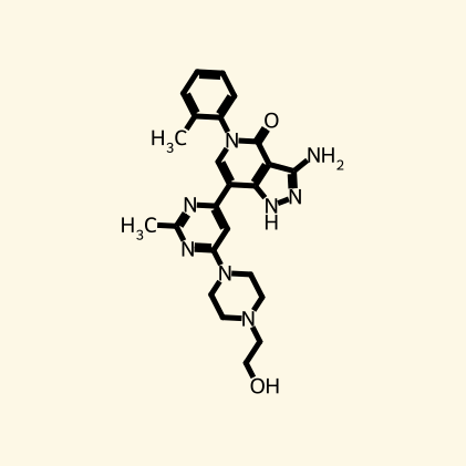 Cc1nc(-c2cn(-c3ccccc3C)c(=O)c3c(N)n[nH]c23)cc(N2CCN(CCO)CC2)n1